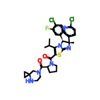 CC(C)C1=C(C(=O)N2CCCC2C(=O)N2CCNC3(CC3)C2)SC2=N[C@@](C)(c3ccc(Cl)nc3)[C@@H](c3ccc(Cl)c(F)c3)N21